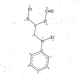 CCOC(CN(CC)c1ccccc1)OC=O